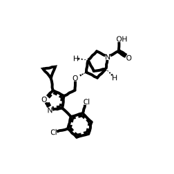 O=C(O)N1C[C@H]2C[C@@H]1C[C@@H]2OCc1c(-c2c(Cl)cccc2Cl)noc1C1CC1